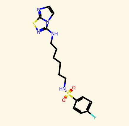 O=S(=O)(NCCCCCCNc1nsc2nccn12)c1ccc(F)cc1